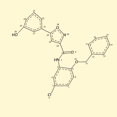 O=C(Nc1cc(Cl)ccc1OCc1ccccc1)c1cc(-c2cccc(O)c2)on1